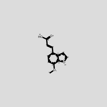 COc1ccc(C=CC(=O)O)c2ccoc12